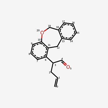 C=CCC(C=O)c1cccc2c1Cc1ccccc1CO2